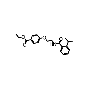 CCOC(=O)c1ccc(OCCNC(=O)c2ccccc2C(C)C)cc1